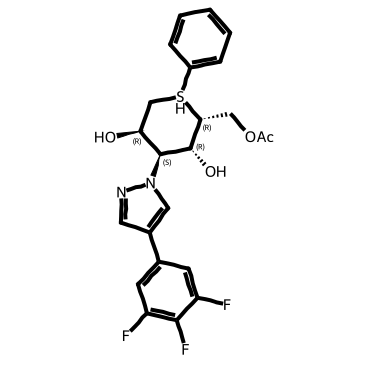 CC(=O)OC[C@@H]1[C@H](O)[C@@H](n2cc(-c3cc(F)c(F)c(F)c3)cn2)[C@@H](O)C[SH]1c1ccccc1